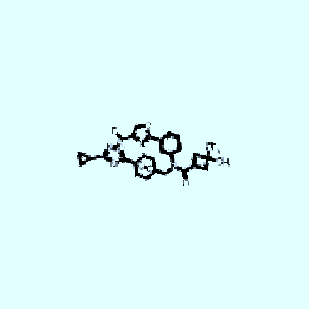 O=C(C1CC(O)(C(F)(F)F)C1)N(CC12CCC(c3nc(C4CC4)no3)(CC1)CC2)c1cccc(-c2nc(C(F)F)co2)c1